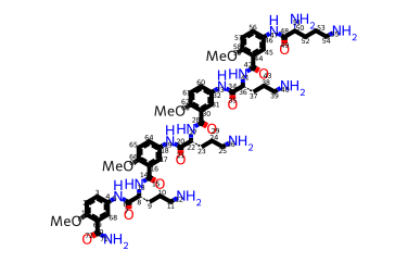 COc1ccc(NC(=O)[C@@H](CCCN)NC(=O)c2cc(NC(=O)[C@@H](CCCN)NC(=O)c3cc(NC(=O)[C@@H](CCCN)NC(=O)c4cc(NC(=O)[C@H](N)CCCN)ccc4OC)ccc3OC)ccc2OC)cc1C(N)=O